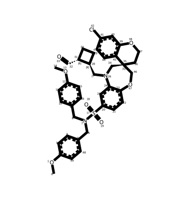 COc1ccc(CN(Cc2ccc(OC)cc2)S(=O)(=O)c2ccc3c(c2)N(C[C@@H]2CC[C@H]2C=O)C[C@@]2(CCOc4cc(Cl)ccc42)CO3)cc1